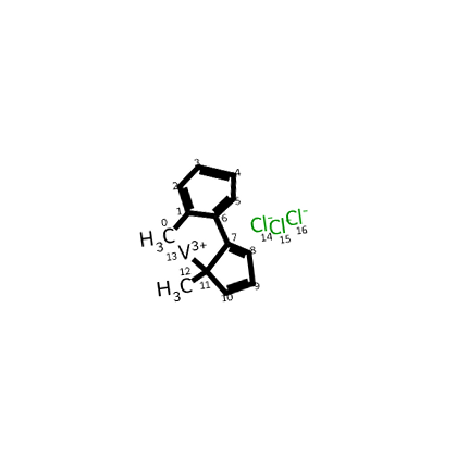 Cc1ccccc1C1=CC=C[C]1(C)[V+3].[Cl-].[Cl-].[Cl-]